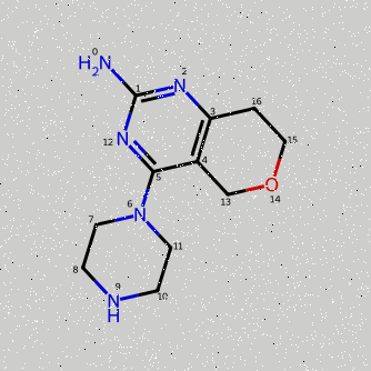 Nc1nc2c(c(N3CCNCC3)n1)COCC2